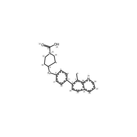 Cc1c(-c2ccc(OC3CCN(C(=O)O)CC3)cc2)ccc2cccnc12